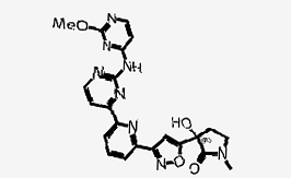 COc1nccc(Nc2nccc(-c3cccc(-c4cc([C@]5(O)CCN(C)C5=O)on4)n3)n2)n1